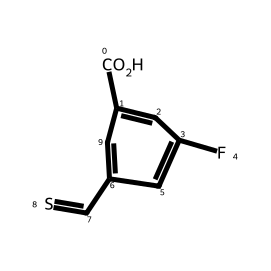 O=C(O)c1cc(F)cc(C=S)c1